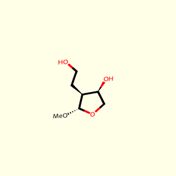 CO[C@H]1OC[C@H](O)[C@@H]1CCO